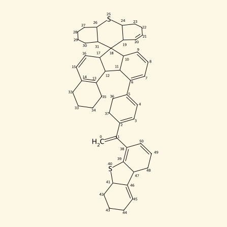 C=C(C1=CC=C(C2=CC=CC3C2C2C4=C(C=CC2C32C3C=CCCC3SC3CCCCC32)CCCC4)CC1)C1=C2SC3CCCC=C3C2CC=C1